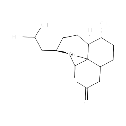 CC(C)CC12CC[C@H]3[C@H](C)CCC4CC(=O)OC(O1)C43OO2